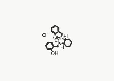 Oc1ccccc1C=[N+]1[Cr][N+](=Cc2ccccc2O)[C@@H]2CCCC[C@H]21.[Cl-]